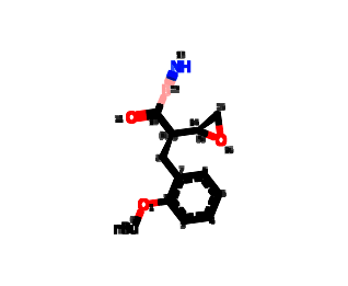 CCCCOc1ccccc1C[C@@H](C(=O)B=N)[C@H]1CO1